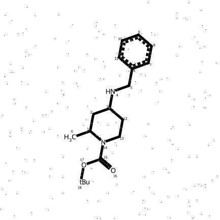 CC1CC(NCc2ccccc2)CCN1C(=O)OC(C)(C)C